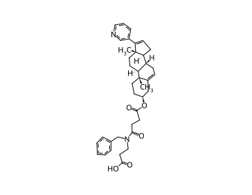 C[C@]12CC[C@H](OC(=O)CCC(=O)N(CCC(=O)O)Cc3ccccc3)CC1=CC[C@@H]1[C@@H]2CC[C@]2(C)C(c3cccnc3)=CC[C@@H]12